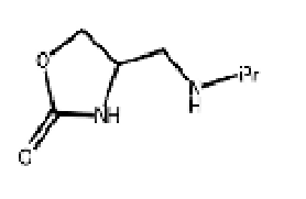 CC(C)NCC1COC(=O)N1